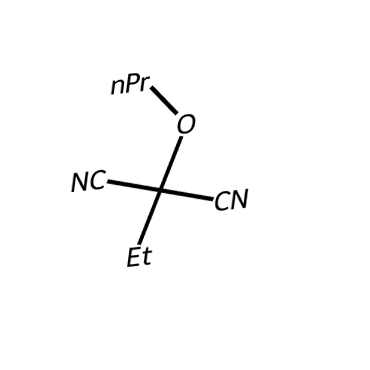 CCCOC(C#N)(C#N)CC